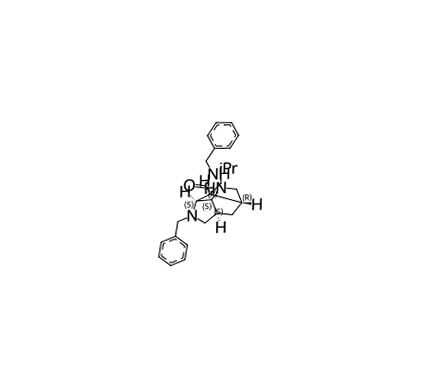 CC(C)C[C@@H]1[C@@H]2CN[C@@]3(C(=O)NCc4ccccc4)[C@@H](C2)CN(Cc2ccccc2)[C@@H]13